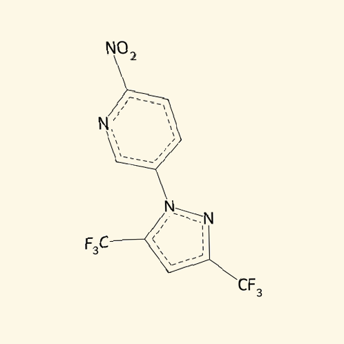 O=[N+]([O-])c1ccc(-n2nc(C(F)(F)F)cc2C(F)(F)F)cn1